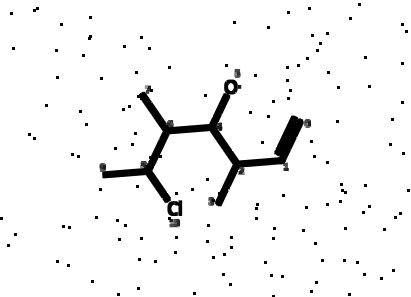 C=CC(C)C([O])C(C)C(C)Cl